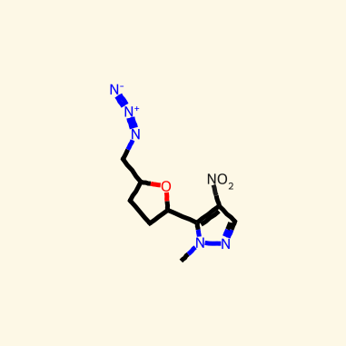 Cn1ncc([N+](=O)[O-])c1C1CCC(CN=[N+]=[N-])O1